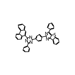 c1ccc(-c2nc(-c3ccc(-c4nc(-c5ccccc5)c5sc6ccccc6c5n4)cc3)nc(-c3cc4ccccc4c4ccccc34)n2)cc1